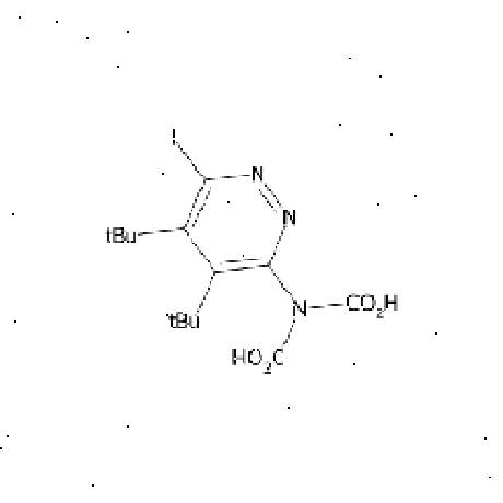 CC(C)(C)c1c(I)nnc(N(C(=O)O)C(=O)O)c1C(C)(C)C